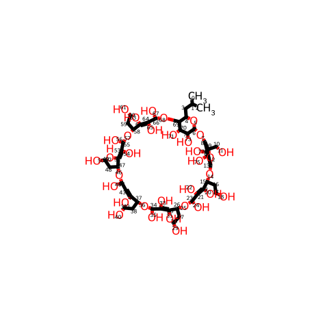 CC(C)CC1OC2OC3C(CO)OC(OC(CCO)/C(O)=C(\O)C(O)OC(CCO)/C(O)=C(\O)C(O)OC(CCO)/C(O)=C\C(O)OC(CCO)/C(O)=C(\O)C(O)OC(CCO)/C(O)=C(\O)C(O)OC1C(O)C2O)C(O)C3O